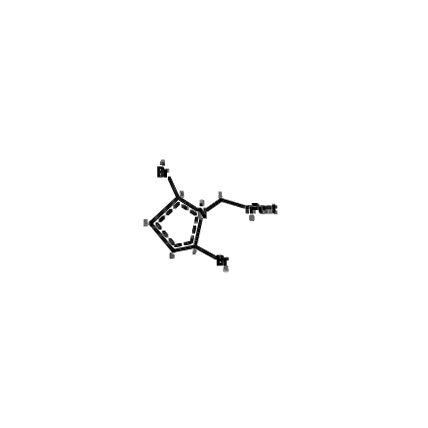 CCCCCCn1c(Br)ccc1Br